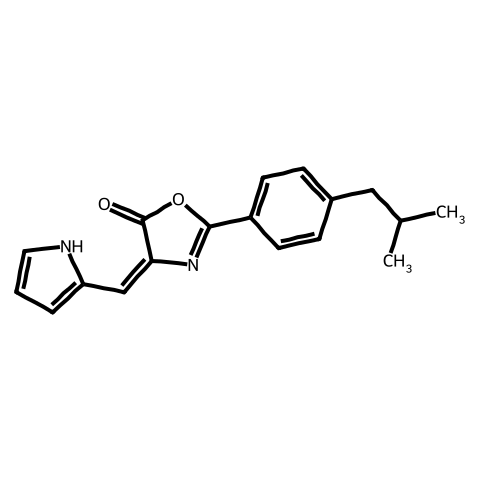 CC(C)Cc1ccc(C2=NC(=Cc3ccc[nH]3)C(=O)O2)cc1